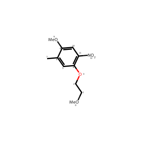 COCCOc1cc(C)c(OC)cc1[N+](=O)[O-]